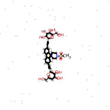 CS(=O)(=O)N1CCC2(CC1)c1cc(C#C[C@H]3O[C@H](CO)[C@@H](O)[C@H](O)[C@@H]3O)ccc1-c1ccc(C#C[C@H]3O[C@H](CO)C[C@H](O)[C@@H]3O)cc12